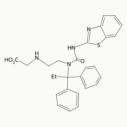 CCC(c1ccccc1)(c1ccccc1)N(CCNCC(=O)O)C(=O)Nc1nc2ccccc2s1